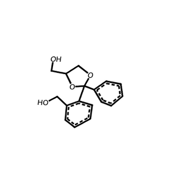 OCc1ccccc1C1(c2ccccc2)OCC(CO)O1